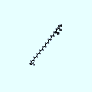 CCCCCCCCCCCCCCCCCCN(Br)CC(=O)O